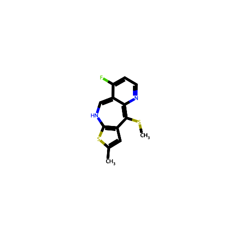 CSC1=c2nccc(F)c2=CNc2sc(C)cc21